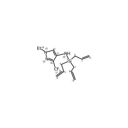 C=CC[Si](CC=C)(CC=C)Nc1cn(CC)nc1C(F)(F)F